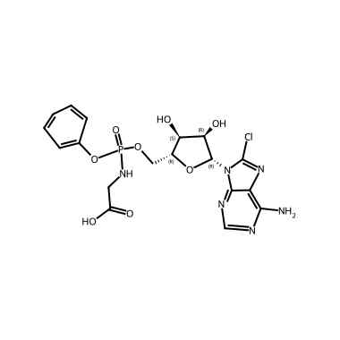 Nc1ncnc2c1nc(Cl)n2[C@@H]1O[C@H](COP(=O)(NCC(=O)O)Oc2ccccc2)[C@@H](O)[C@H]1O